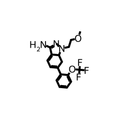 COCCN1N=C(N)C2=CC=C(c3ccccc3OC(F)(F)F)CC21